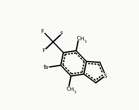 Cc1c(Br)c(C(F)(F)F)c(C)c2cscc12